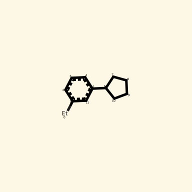 [CH2]Cc1cccc(C2CCCC2)c1